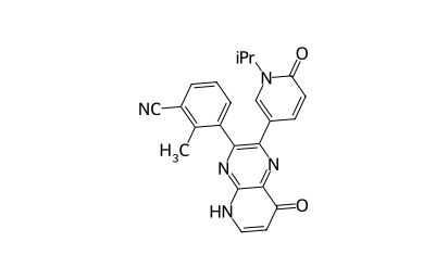 Cc1c(C#N)cccc1-c1nc2[nH]ccc(=O)c2nc1-c1ccc(=O)n(C(C)C)c1